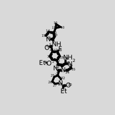 CCOc1cc(C(=O)Nc2cc(C3CC3)ccn2)c(F)cc1-c1nc(C2CCCN(C(=O)CC)C2)n2ccnc(N)c12